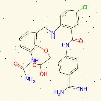 N=C(N)c1ccc(NC(=O)c2cc(Cl)ccc2NCc2cccc(NC(N)=O)c2OCC(=O)O)cc1